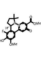 COC(=O)c1cn2c(cc1=O)-c1cc(OC)c(O)c(F)c1[C@H]1CCC(C)(C)N12